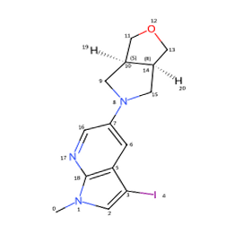 Cn1cc(I)c2cc(N3C[C@H]4COC[C@H]4C3)cnc21